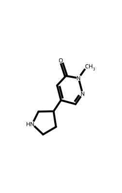 Cn1ncc(C2CCNC2)cc1=O